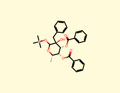 C[C@@H]1OC(O[Si](C)(C)C)[C@](O)(Cc2ccccc2)[C@H](OC(=O)c2ccccc2)[C@@H]1OC(=O)c1ccccc1